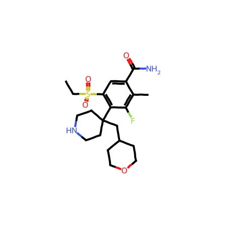 CCS(=O)(=O)c1cc(C(N)=O)c(C)c(F)c1C1(CC2CCOCC2)CCNCC1